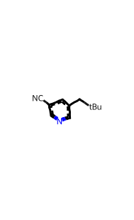 CC(C)(C)Cc1cncc(C#N)c1